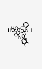 Cc1ccc(OCC(=O)Nc2ccccc2C(=O)O)cc1C.NC(=O)CC(=O)O